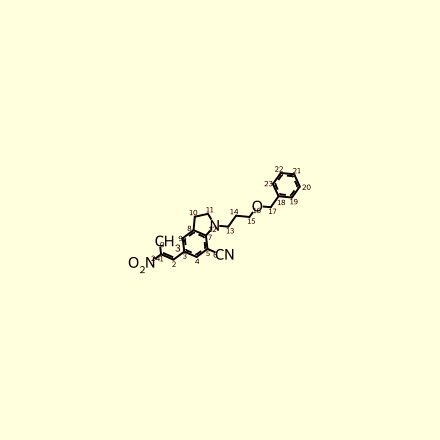 CC(=Cc1cc(C#N)c2c(c1)CCN2CCCOCc1ccccc1)[N+](=O)[O-]